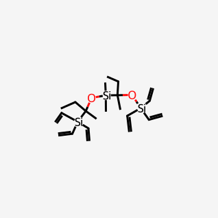 C=C[Si](C=C)(C=C)OC(C)(CC)[Si](C)(C)OC(C)(CC)[Si](C=C)(C=C)C=C